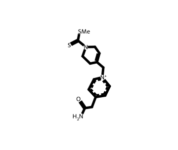 CSC(=S)N1CC=C(C[n+]2ccc(CC(N)=O)cc2)CC1